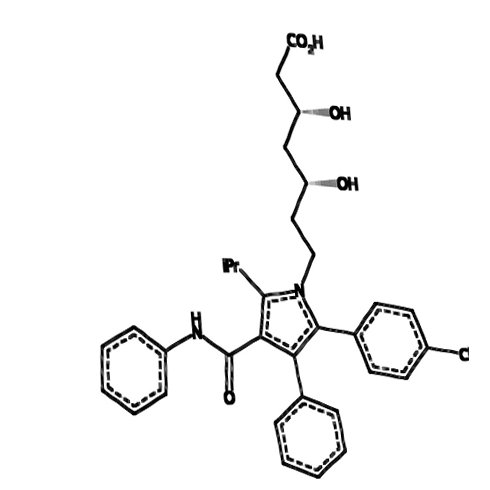 CC(C)c1c(C(=O)Nc2ccccc2)c(-c2ccccc2)c(-c2ccc(Cl)cc2)n1CC[C@@H](O)C[C@@H](O)CC(=O)O